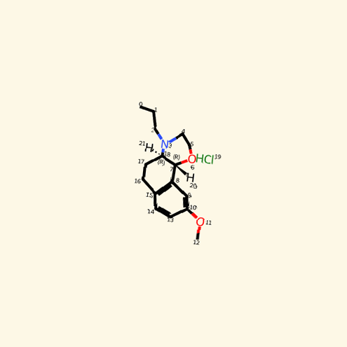 CCCN1CCO[C@@H]2c3cc(OC)ccc3CC[C@H]21.Cl